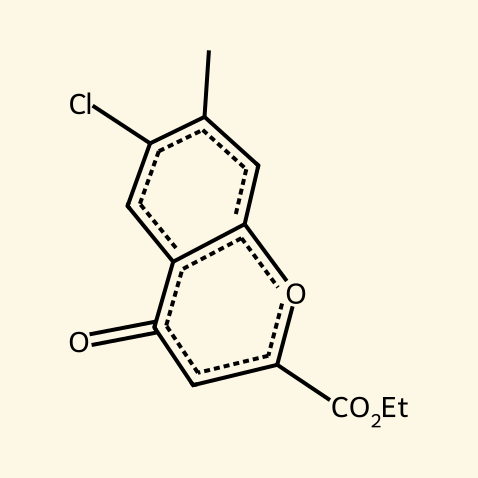 CCOC(=O)c1cc(=O)c2cc(Cl)c(C)cc2o1